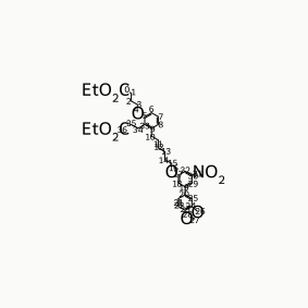 CCOC(=O)CCCOc1cccc(CCCCCCOc2cc(-c3ccc4c(c3)OCO4)cc([N+](=O)[O-])c2)c1CCC(=O)OCC